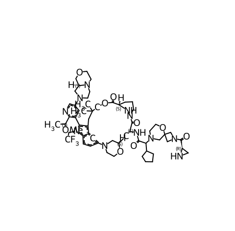 CO[C@@H](C)c1ncc(N2CCN3CCOC[C@@H]3C2)cc1-c1c2c3cc(ccc3n1CC(F)(F)F)N1CCO[C@@H](C[C@H](NC(=O)C(C3CCCC3)N3CCOC4(CN(C(=O)[C@H]5CN5)C4)C3)C(=O)N3CCC[C@H](N3)C(=O)OCC(C)(C)C2)C1